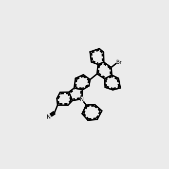 N#Cc1ccc2c3ccc(-c4c5ccccc5c(Br)c5ccccc45)cc3n(-c3ccccc3)c2c1